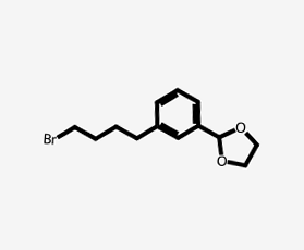 BrCCCCc1cccc(C2OCCO2)c1